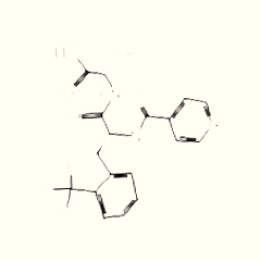 C[C@H](NC(=O)[C@H](Cc1ccccc1C(F)(F)F)NC(=O)c1ccncc1)C(=O)O